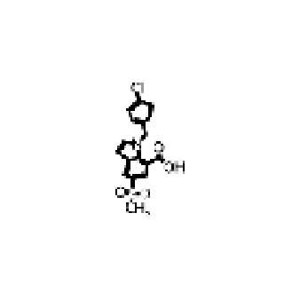 CS(=O)(=O)c1cc(C(=O)O)c2c(ccn2Cc2ccc(Cl)cc2)c1